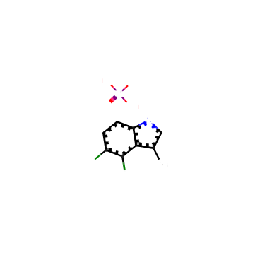 O=P(O)(O)O.[Na][c]1c[nH]c2ccc(Br)c(Cl)c12